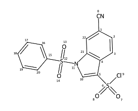 N#Cc1ccc2c(S(=O)(=O)Cl)cn(S(=O)(=O)c3ccccc3)c2c1